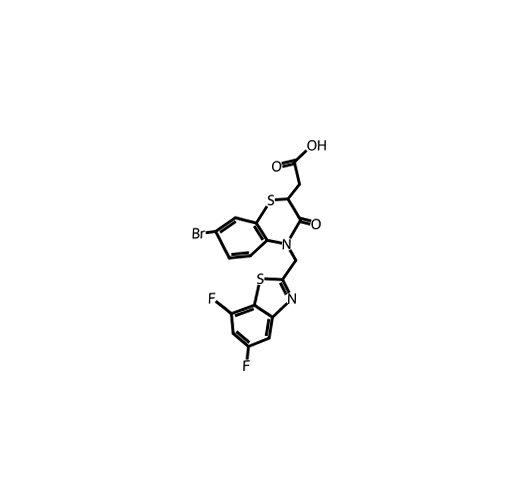 O=C(O)CC1Sc2cc(Br)ccc2N(Cc2nc3cc(F)cc(F)c3s2)C1=O